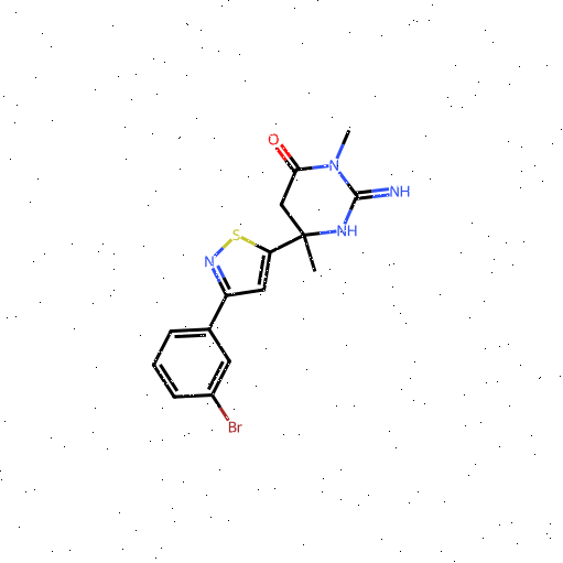 CN1C(=N)NC(C)(c2cc(-c3cccc(Br)c3)ns2)CC1=O